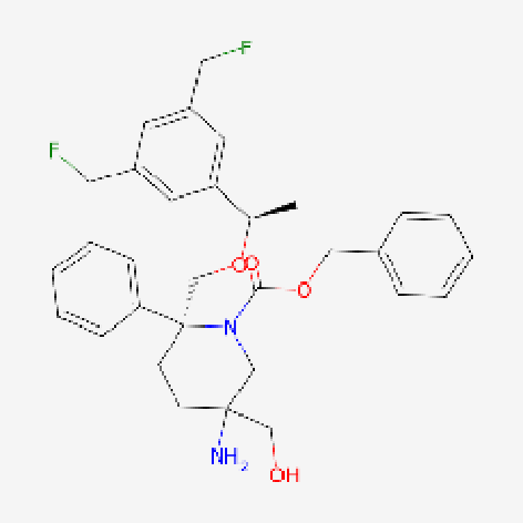 C[C@@H](OC[C@@]1(c2ccccc2)CCC(N)(CO)CN1C(=O)OCc1ccccc1)c1cc(CF)cc(CF)c1